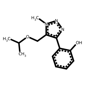 CC(C)OCc1c(-c2ccccc2O)nnn1C